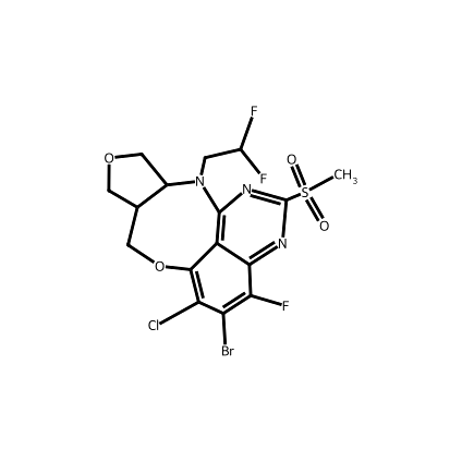 CS(=O)(=O)c1nc2c3c(c(Cl)c(Br)c(F)c3n1)OCC1COCC1N2CC(F)F